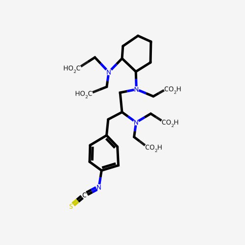 O=C(O)CN(CC(=O)O)C(Cc1ccc(N=C=S)cc1)CN(CC(=O)O)C1CCCCC1N(CC(=O)O)CC(=O)O